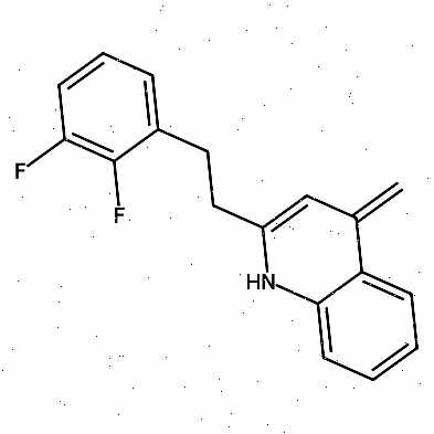 C=C1C=C(CCc2cccc(F)c2F)Nc2ccccc21